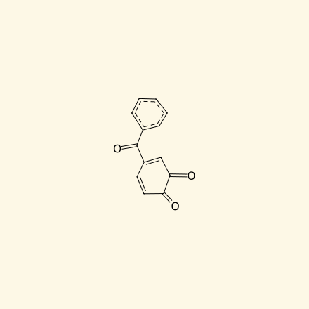 O=C1C=CC(C(=O)c2ccccc2)=CC1=O